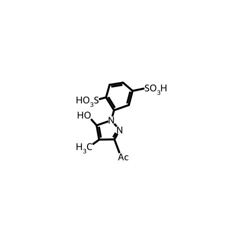 CC(=O)c1nn(-c2cc(S(=O)(=O)O)ccc2S(=O)(=O)O)c(O)c1C